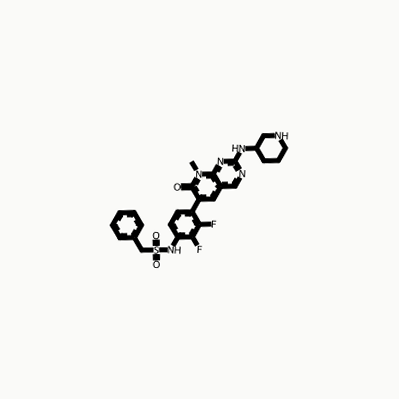 Cn1c(=O)c(-c2ccc(NS(=O)(=O)Cc3ccccc3)c(F)c2F)cc2cnc(NC3CCCNC3)nc21